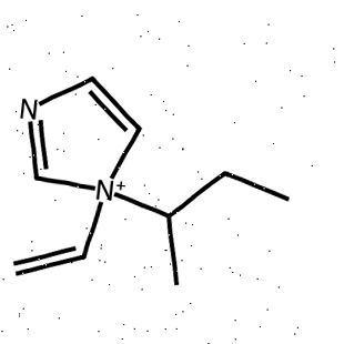 C=C[N+]1(C(C)CC)C=CN=C1